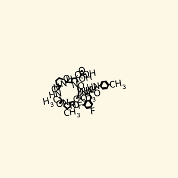 Cc1ccc(NC(=O)N[C@@H](Cc2cc(F)cc(F)c2)C(=O)N[C@@H]2C(=O)N3C[C@@H](OP(=O)(O)O)C[C@H]3C(=O)N3CCCC[C@H]3C(=O)N[C@@H](C)C(=O)N3C[C@H](C)C[C@H]3C(=O)O[C@H]2C)cc1